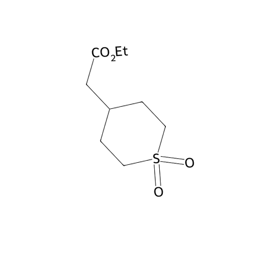 CCOC(=O)CC1CCS(=O)(=O)CC1